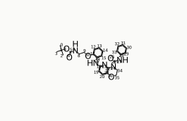 CC(C)(C)OC(=O)NCCOc1ccccc1Nc1ccc2c(n1)N(C(=O)Nc1ccccc1)CCO2